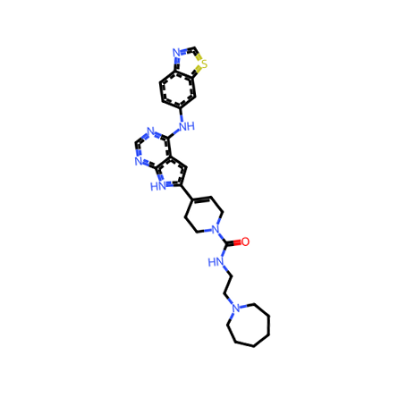 O=C(NCCN1CCCCCC1)N1CC=C(c2cc3c(Nc4ccc5ncsc5c4)ncnc3[nH]2)CC1